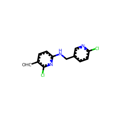 O=Cc1ccc(NCc2ccc(Cl)nc2)nc1Cl